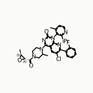 Cc1ccnc(C(C)C)c1-n1c(=O)nc(N2CCN(C(=O)[C@@H]3O[C@H]3C)CC2C)c2cc(Cl)c(-c3ccccc3F)nc21